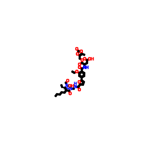 CCCCCC(C(=O)NCNC(=O)c1ccc(-c2ccc(C(=O)NC(CC(=O)O)C(=O)OCc3oc(=O)oc3C)c(OCC)c2)o1)[C@@H](CC)N(O)C=O